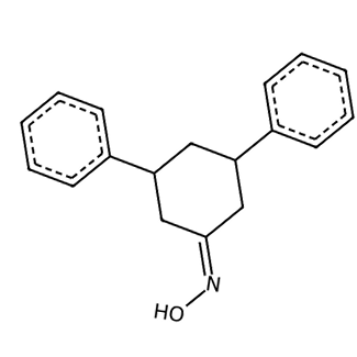 ON=C1CC(c2ccccc2)CC(c2ccccc2)C1